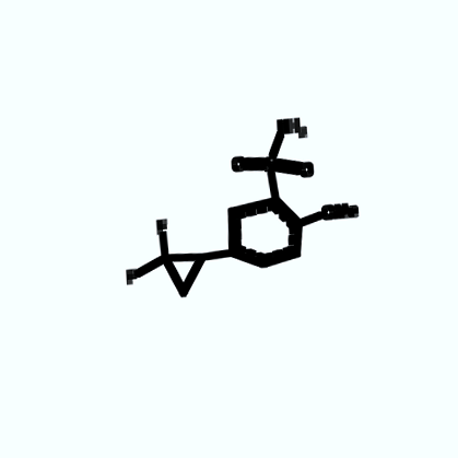 COc1ccc(C2CC2(F)F)cc1S(N)(=O)=O